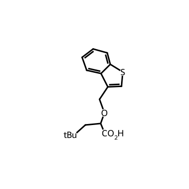 CC(C)(C)CC(OCc1csc2ccccc12)C(=O)O